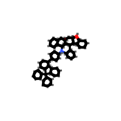 c1ccc(C2(c3ccccc3)c3ccccc3-c3c(-c4ccc(N(c5ccccc5-c5cccc6oc7ccccc7c56)c5cccc6ccccc56)cc4)cccc32)cc1